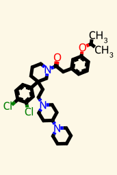 CC(C)Oc1cccc(CC(=O)N2CCCC(CCN3CCC(N4CCCCC4)CC3)(c3ccc(Cl)c(Cl)c3)C2)c1